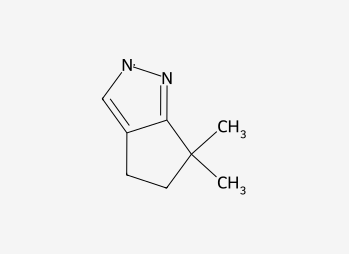 CC1(C)CCC2=C[N]N=C21